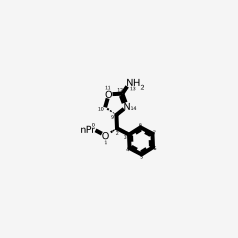 CCCO[C@@H](c1ccccc1)[C@@H]1COC(N)=N1